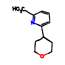 O=C(O)c1cccc(C2CCOCC2)n1